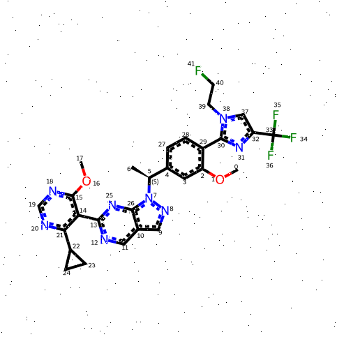 COc1cc([C@H](C)n2ncc3cnc(-c4c(OC)ncnc4C4CC4)nc32)ccc1-c1nc(C(F)(F)F)cn1CCF